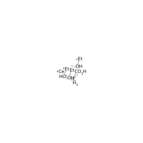 CC(=O)O.CCO.CCO.CCO.[Ce]